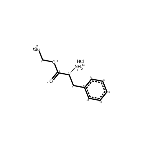 CC(C)(C)COC(=O)[C@H](N)Cc1ccccc1.Cl